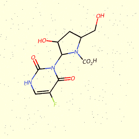 O=C(O)N1C(CO)CC(O)C1n1c(=O)[nH]cc(F)c1=O